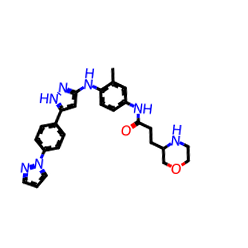 Cc1cc(NC(=O)CCC2COCCN2)ccc1Nc1cc(-c2ccc(-n3cccn3)cc2)[nH]n1